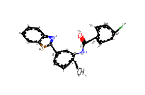 Cc1ccc(-c2nc3ccccc3s2)cc1NC(=O)c1ccc(F)cc1